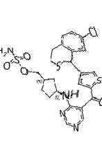 NS(=O)(=O)OC[C@@H]1CC[C@H](Nc2ncncc2C(=O)c2cc(C3SCCc4ccc(Cl)cc43)cs2)C1